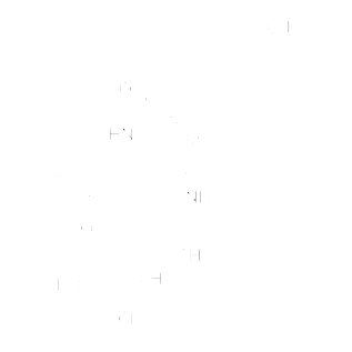 CCCCCS(=O)(=O)Nc1c2c(c(C)[nH]c1=O)C(C(C)(C)C)OC2=O